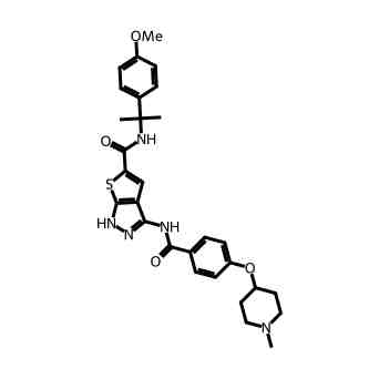 COc1ccc(C(C)(C)NC(=O)c2cc3c(NC(=O)c4ccc(OC5CCN(C)CC5)cc4)n[nH]c3s2)cc1